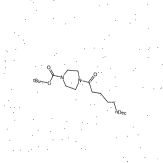 CCCCCCCCCCCCCCC(=O)N1CCN(C(=O)OC(C)(C)C)CC1